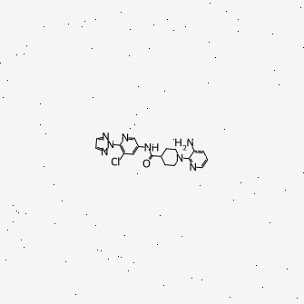 Nc1cccnc1N1CCC(C(=O)Nc2cnc(-n3nccn3)c(Cl)c2)CC1